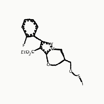 CCOC(=O)c1c(-c2ccccc2F)nn2c1OCC(COSI)C2